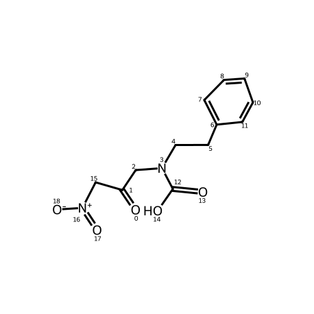 O=C(CN(CCc1ccccc1)C(=O)O)C[N+](=O)[O-]